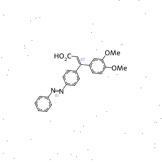 COc1ccc(/C(=C/C(=O)O)c2ccc(/N=N/c3ccccc3)cc2)cc1OC